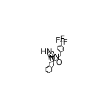 O=C(NCc1ccc(C(F)(F)F)cc1)C1(N2CCNCC2)Cc2ccccc2C1